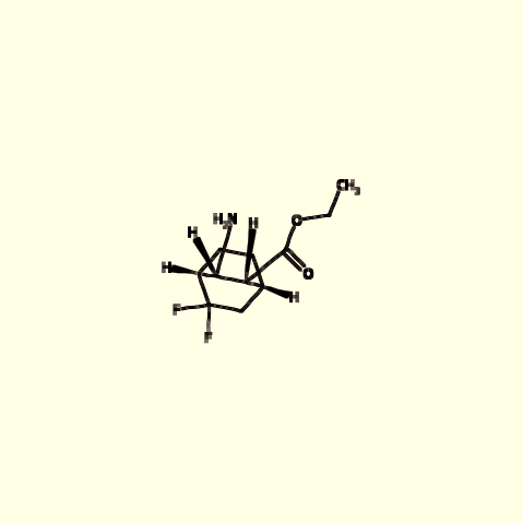 CCOC(=O)[C@@H]1[C@@H]2CC[C@H]([C@@H]1N)C(F)(F)C2